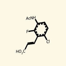 CC(=O)Nc1ccc(Cl)c(C=CC(=O)O)c1F